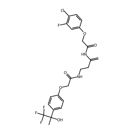 C=C(CCNC(=O)COc1ccc(C(C)(O)C(F)(F)F)cc1)NC(=O)COc1ccc(Cl)c(F)c1